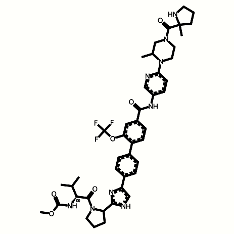 COC(=O)N[C@H](C(=O)N1CCCC1c1nc(-c2ccc(-c3ccc(C(=O)Nc4ccc(N5CCN(C(=O)C6(C)CCCN6)CC5C)nc4)cc3OC(F)(F)F)cc2)c[nH]1)C(C)C